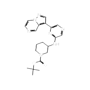 CC(C)(C)OC(=O)N1CCCC(Nc2cncc(-c3cnn4ccncc34)n2)C1